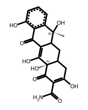 C[C@@]1(O)c2cccc(O)c2C(=O)C2=C(O)[C@]3(O)C(=O)C(C(N)=O)=C(O)CC3CC21